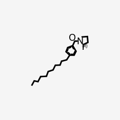 CCCCCCCCCCCc1ccc(C(=O)N2CCC[C@H]2C)cc1